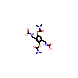 CN(C)C(=O)Sc1cc(CNC(=O)O)c(SC(=O)N(C)C)cc1CNC(=O)O